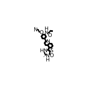 C=CC(=O)Nc1cc(-c2ccc3c(ccc4sc5c(c43)NC[C@@H](C)NC5=O)n2)ccc1OCCN(C)C